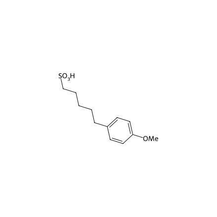 COc1ccc(CCCCCS(=O)(=O)O)cc1